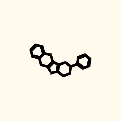 c1ccc(C2CCc3sc4c(c3S2)Sc2ccccc2C4)cc1